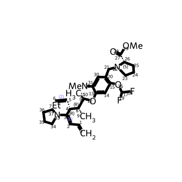 C=C/C=C(\[C@H](/C=C\CC)[C@@H](C)[C@@H](C)Oc1cc(OC(F)F)c(CN2CCC[C@H]2C(=O)OC)cc1NC)N1CCCC1